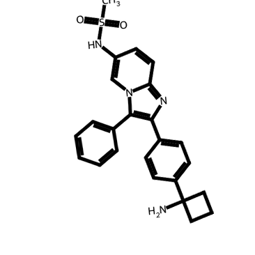 CS(=O)(=O)Nc1ccc2nc(-c3ccc(C4(N)CCC4)cc3)c(-c3ccccc3)n2c1